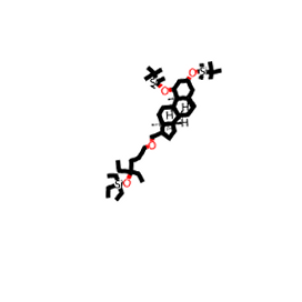 CCC(CC)(CCCOCC1CC[C@H]2[C@@H]3CC=C4CC(O[Si](C)(C)C(C)(C)C)CC(O[Si](C)(C)C(C)(C)C)[C@]4(C)[C@@H]3CC[C@]12C)O[Si](CC)(CC)CC